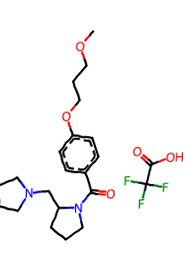 COCCCOc1ccc(C(=O)N2CCCC2CN2CCCC2)cc1.O=C(O)C(F)(F)F